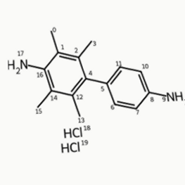 Cc1c(C)c(-c2ccc(N)cc2)c(C)c(C)c1N.Cl.Cl